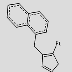 [Pt][C]1=C(Cc2cccc3ccccc23)C=CC1